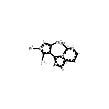 Cc1nn(C(C)C)c(C)c1-c1nnc2ccnc(N)n12